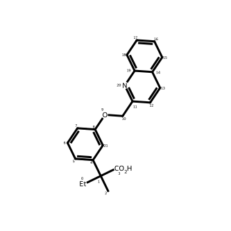 CCC(C)(C(=O)O)c1cccc(OCc2ccc3ccccc3n2)c1